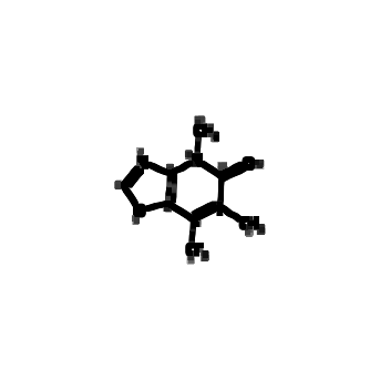 Cc1c(C(F)(F)F)c2ocnc2n(C)c1=O